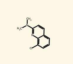 CN(C)c1ccc2cccc(Cl)c2n1